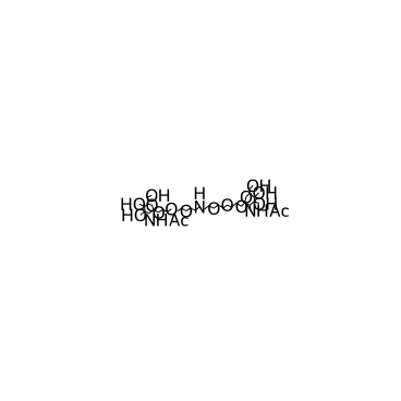 CC(=O)NC1C(OCCOCCOCCNCCOCCOCCOC2OC(CO)C(O)C(O)[C@@H]2NC(C)=O)OC(CO)C(O)C1O